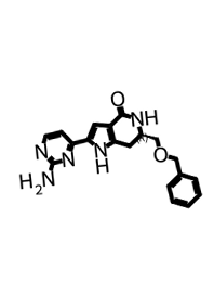 Nc1nccc(-c2cc3c([nH]2)C[C@H](COCc2ccccc2)NC3=O)n1